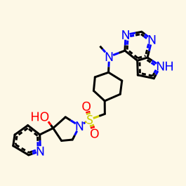 CN(c1ncnc2[nH]ccc12)C1CCC(CS(=O)(=O)N2CCC(O)(c3ccccn3)C2)CC1